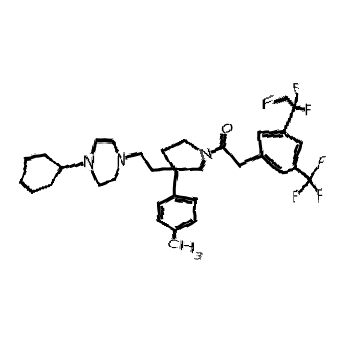 Cc1ccc(C2(CCN3CCN(C4CCCCC4)CC3)CCN(C(=O)Cc3cc(C(F)(F)F)cc(C(F)(F)F)c3)C2)cc1